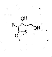 COC1S[C@H](CO)[C@@H](O)[C@@H]1F